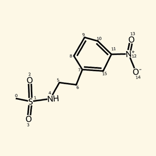 CS(=O)(=O)NCCc1cccc([N+](=O)[O-])c1